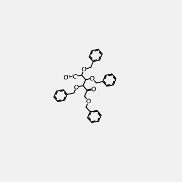 O=CC(OCc1ccccc1)C(OCc1ccccc1)C(OCc1ccccc1)C(=O)COCc1ccccc1